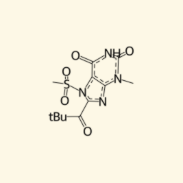 Cn1c(=O)[nH]c(=O)c2c1nc(C(=O)C(C)(C)C)n2S(C)(=O)=O